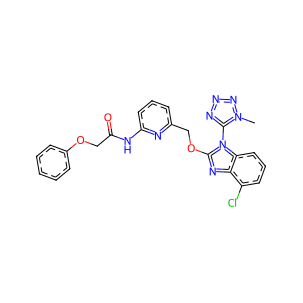 Cn1nnnc1-n1c(OCc2cccc(NC(=O)COc3ccccc3)n2)nc2c(Cl)cccc21